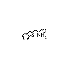 N[C@H](C=O)Cc1cc2ccccc2s1